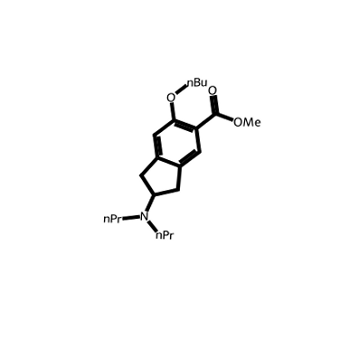 CCCCOc1cc2c(cc1C(=O)OC)CC(N(CCC)CCC)C2